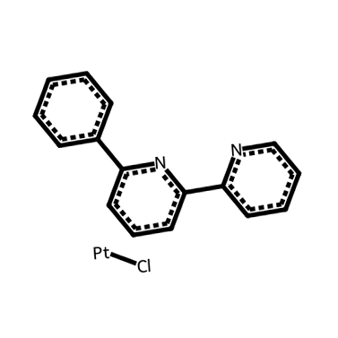 [Cl][Pt].c1ccc(-c2cccc(-c3ccccn3)n2)cc1